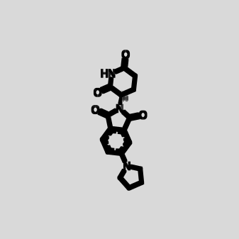 O=C1CC[C@@H](N2C(=O)c3ccc(N4CCCC4)cc3C2=O)C(=O)N1